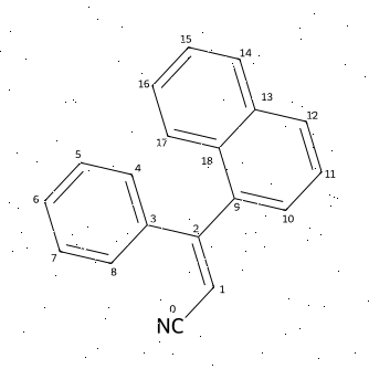 N#C/C=C(\c1ccccc1)c1cccc2ccccc12